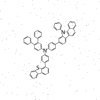 c1ccc(-c2ccc(N(c3ccc(-c4ccc5c6ccc7ccccc7c6n(-c6ccccc6)c5c4)cc3)c3ccc(-c4cccc5c4sc4ccccc45)cc3)cc2-c2ccccc2)cc1